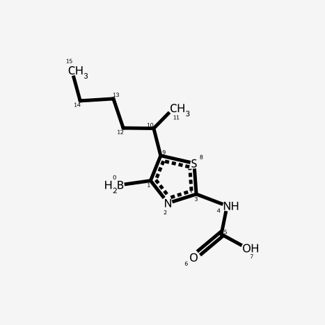 Bc1nc(NC(=O)O)sc1C(C)CCCC